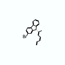 C=C/C=C\C=C(/C)[C@H]1c2ccccc2-c2ccc(Br)cc21